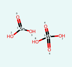 [O]=[Sn]([OH])[OH].[O]=[W](=[O])([OH])[OH]